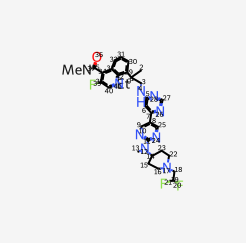 CC[C@](C)(CNc1cc(-c2cnc(N(C)C3CCN(CC(F)F)CC3)nc2)ncn1)c1cccc2c(C(=O)NC)c(F)cnc12